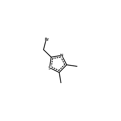 Cc1nc(CBr)sc1C